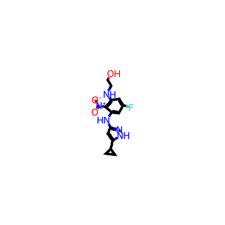 O=[N+]([O-])c1c(NCCO)cc(F)cc1Nc1cc(C2CC2)[nH]n1